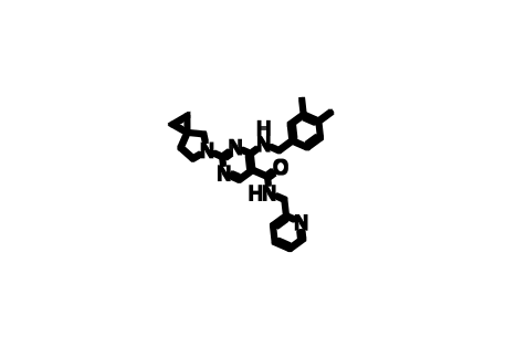 Cc1ccc(CNc2nc(N3CCC4(CC4)C3)ncc2C(=O)NCc2ccccn2)cc1C